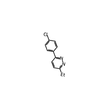 CCc1ccc(-c2ccc(Cl)cc2)nn1